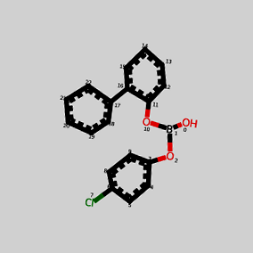 OB(Oc1ccc(Cl)cc1)Oc1ccccc1-c1ccccc1